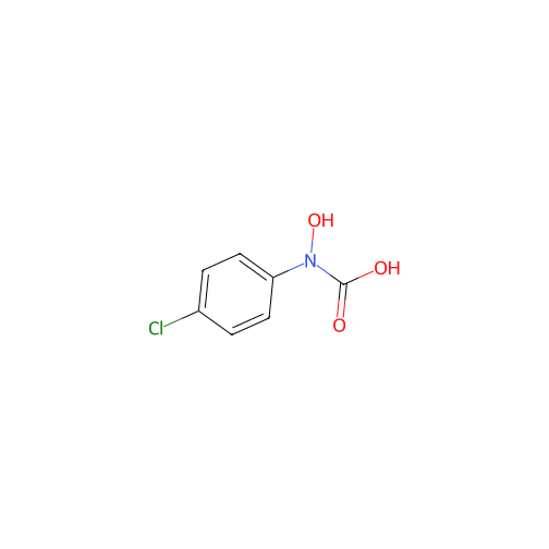 O=C(O)N(O)c1ccc(Cl)cc1